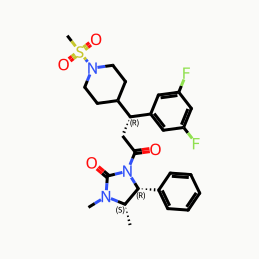 C[C@H]1[C@@H](c2ccccc2)N(C(=O)C[C@@H](c2cc(F)cc(F)c2)C2CCN(S(C)(=O)=O)CC2)C(=O)N1C